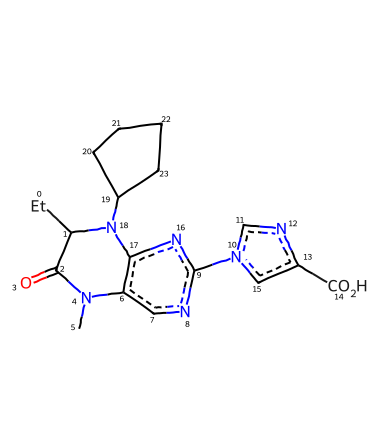 CCC1C(=O)N(C)c2cnc(-n3cnc(C(=O)O)c3)nc2N1C1CCCC1